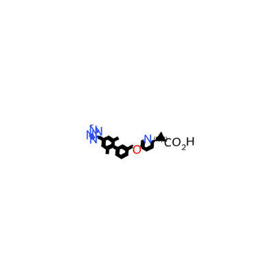 Cc1cc(-c2nnn(C)n2)cc(C)c1-c1cccc(COc2ccc([C@H]3C[C@@H]3C(=O)O)nc2)c1